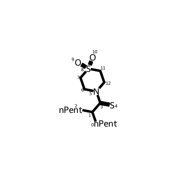 CCCCCC(CCCCC)C(=S)N1CCS(=O)(=O)CC1